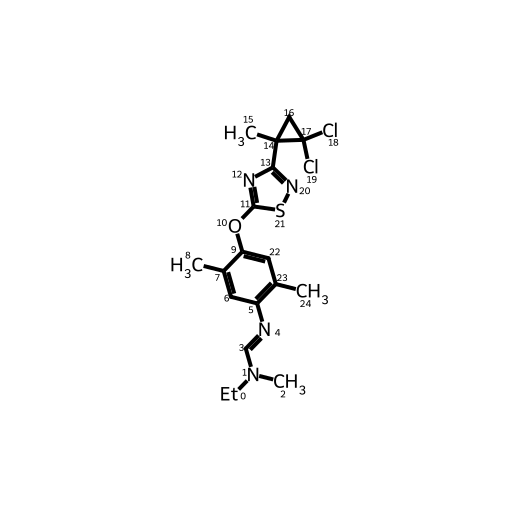 CCN(C)C=Nc1cc(C)c(Oc2nc(C3(C)CC3(Cl)Cl)ns2)cc1C